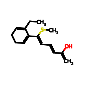 C=C(O)/C=C/C=C(\SC)C1=CCCC=C1CC